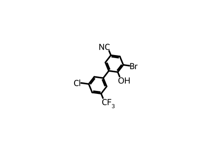 N#Cc1cc(Br)c(O)c(-c2cc(Cl)cc(C(F)(F)F)c2)c1